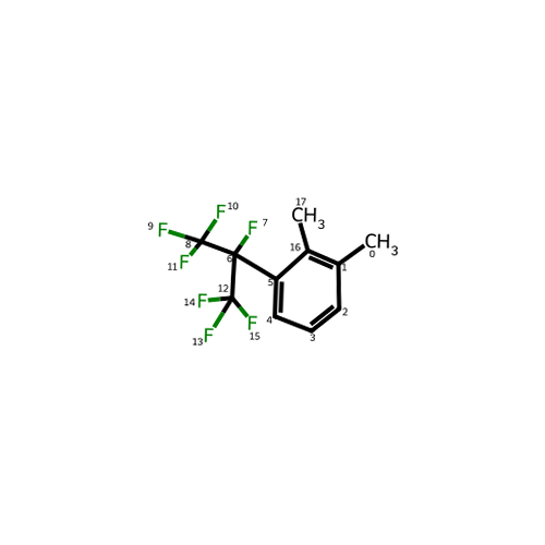 Cc1cccc(C(F)(C(F)(F)F)C(F)(F)F)c1C